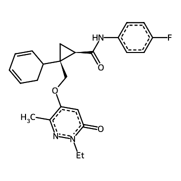 CCn1nc(C)c(OC[C@@]2(C3C=CC=CC3)C[C@H]2C(=O)Nc2ccc(F)cc2)cc1=O